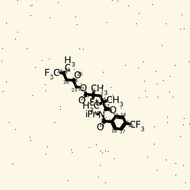 CCC(C)(CC(C)(C)C(=O)N(C(=O)c1ccc(C(F)(F)F)cc1)C(C)C)C(=O)OCC(=O)CC(C)C(F)(F)F